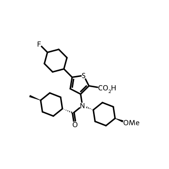 CO[C@H]1CC[C@H](N(c2cc(C3CCC(F)CC3)sc2C(=O)O)C(=O)[C@H]2CC[C@H](C)CC2)CC1